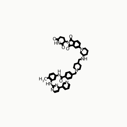 Cc1ccc(NC(=O)c2ccc(CN3CCC(CN[C@H]4CCCN(c5ccc6c(c5)C(=O)N(C5CCC(=O)NC5=O)C6=O)C4)CC3)cc2)cc1Nc1nccc(-c2cccnc2)n1